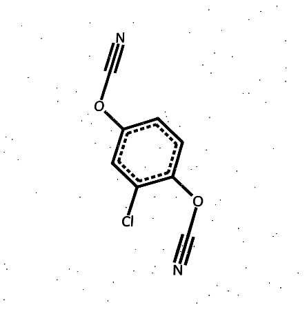 N#COc1ccc(OC#N)c(Cl)c1